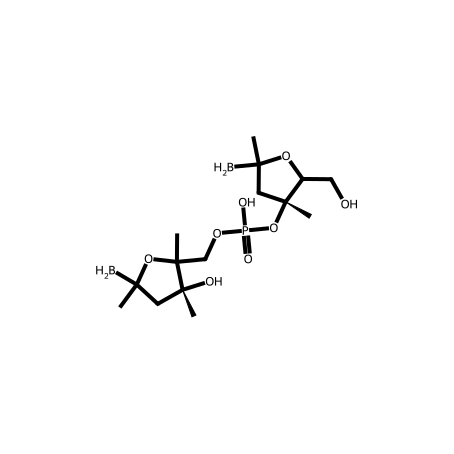 BC1(C)C[C@@](C)(OP(=O)(O)OCC2(C)OC(B)(C)C[C@@]2(C)O)C(CO)O1